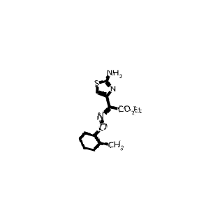 CCOC(=O)/C(=N\OC1CCCCC1C)c1csc(N)n1